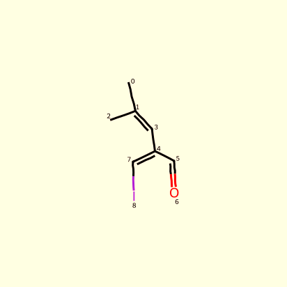 CC(C)=CC(C=O)=CI